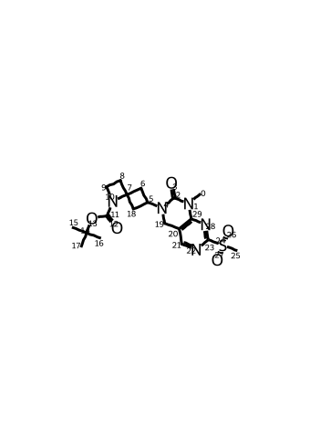 CN1C(=O)N(C2CC3(CCN3C(=O)OC(C)(C)C)C2)Cc2cnc(S(C)(=O)=O)nc21